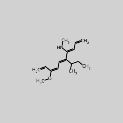 C=C/C=C(NC)/C(=C/C=C(\C=C)OC)C(C)CC